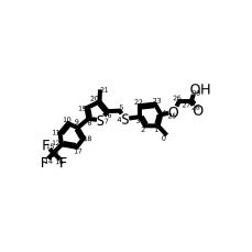 Cc1cc(SCc2sc(-c3ccc(C(F)(F)F)cc3)cc2C)ccc1OCC(=O)O